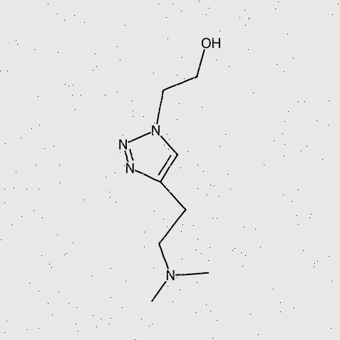 CN(C)CCc1cn(CCO)nn1